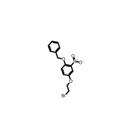 O=[N+]([O-])c1cc(OCCBr)ccc1OCc1ccccc1